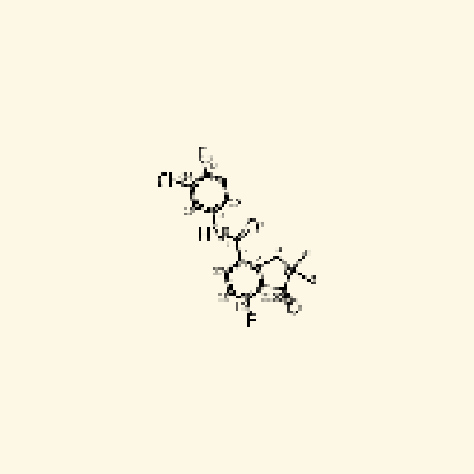 CC1(C)Cc2c(C(=O)Nc3ccc(F)c(Cl)c3)ccc(F)c2C1=O